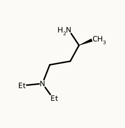 CCN(CC)CC[C@H](C)N